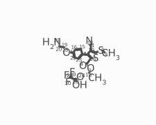 CCOC(=O)c1sc(SC)c(C#N)c1-c1ccc(OCCN)cc1.O=C(O)C(F)(F)F